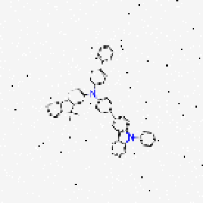 C/C=C(\C=C1/[C@@H](C)c2ccccc2C1(C)C)N(C1=CC=C(c2ccccc2)CC1)c1ccc(-c2ccc3c(c2)c2ccccc2n3-c2ccccc2)cc1